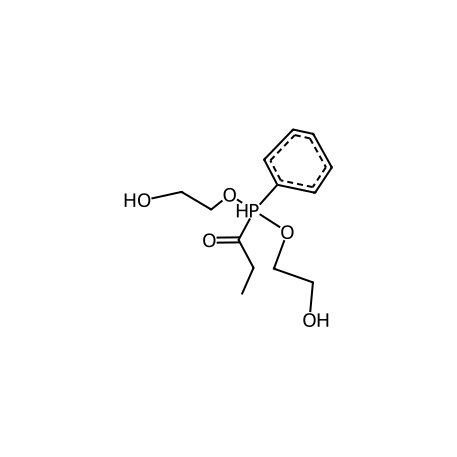 CCC(=O)[PH](OCCO)(OCCO)c1ccccc1